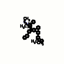 C=C/C=C\C=C(/C)c1nc(-c2ccccc2)cc(-n2c3ccc(-c4ccc5ccccc5c4)cc3c3cc4c5cc(-c6ccc7c(c6)-c6ccccc6C7(C)C)ccc5c5ccccc5c4cc32)n1